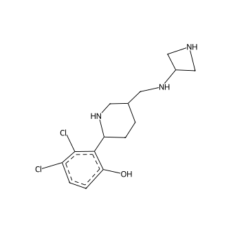 Oc1ccc(Cl)c(Cl)c1C1CCC(CNC2CNC2)CN1